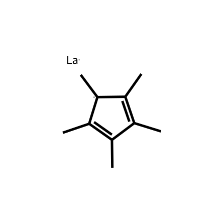 C[C]1C(C)=C(C)C(C)=C1C.[La]